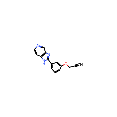 C#CCOc1cccc(-c2nc3cnccc3[nH]2)c1